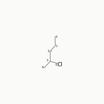 CC[CH]C(C)Cl